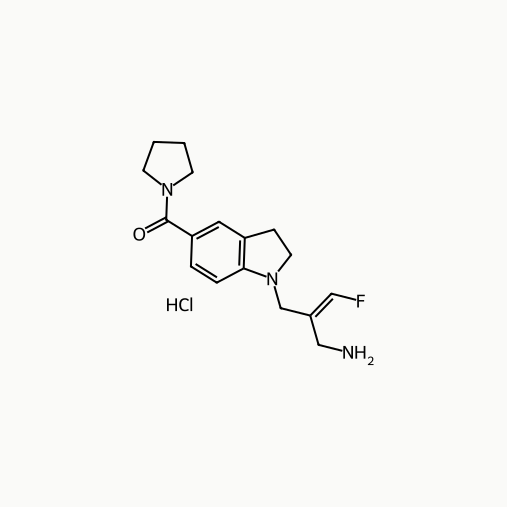 Cl.NCC(=CF)CN1CCc2cc(C(=O)N3CCCC3)ccc21